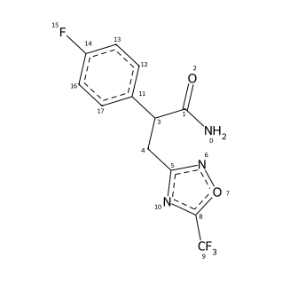 NC(=O)C(Cc1noc(C(F)(F)F)n1)c1ccc(F)cc1